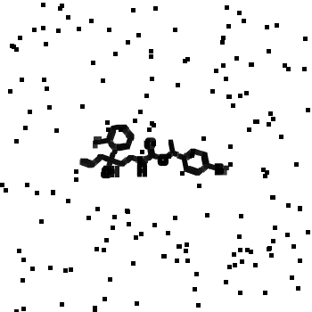 C=CCC(O)(CCNC(=O)OC(C)c1ccc(Br)cc1)c1ccccc1F